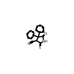 N#CC1C(=S)NC(=O)C1(c1ccccc1)c1ccccc1